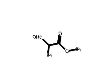 CC(C)OC(=O)C(C=O)C(C)C